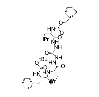 CC(C)C[C@H](NC(=O)OCc1ccccc1)C(=O)NNC(=O)NNC(=O)[C@H](CC(C)C)NC(=O)[C@H](Cc1ccccc1)NC(=O)OC(C)(C)C